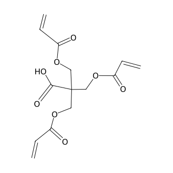 C=CC(=O)OCC(COC(=O)C=C)(COC(=O)C=C)C(=O)O